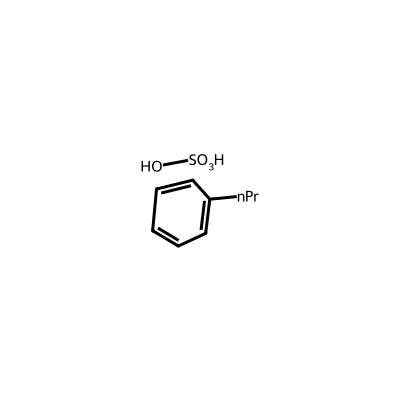 CCCc1ccccc1.O=S(=O)(O)O